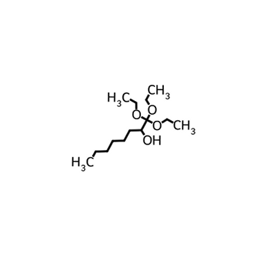 CCCCCCC(O)C(OCC)(OCC)OCC